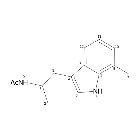 CC(=O)NC(C)Cc1c[nH]c2c(C)cccc12